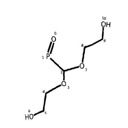 O=PC(OCCO)OCCO